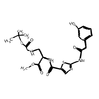 COC(=O)C(CNC(=O)OC(C)(C)C)NC(=O)c1cnc(NC(=O)Cc2cccc(O)c2)s1